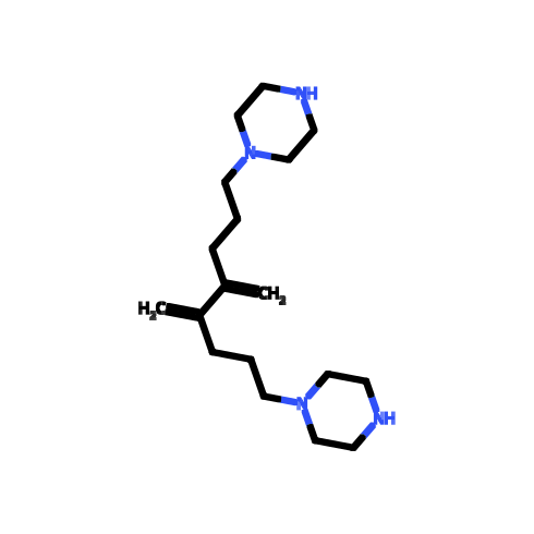 C=C(CCCN1CCNCC1)C(=C)CCCN1CCNCC1